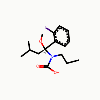 CCCN(C(=O)O)[C@](CC(C)C)(OC)c1ccccc1I